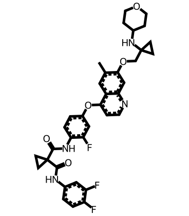 Cc1cc2c(Oc3ccc(NC(=O)C4(C(=O)Nc5ccc(F)c(F)c5)CC4)c(F)c3)ccnc2cc1OCC1(NC2CCOCC2)CC1